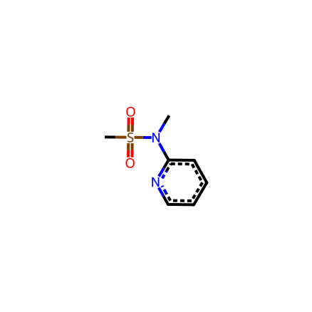 CN(c1ccccn1)S(C)(=O)=O